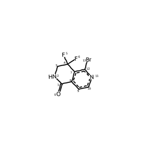 O=C1NCC(F)(F)c2c1ccnc2Br